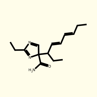 CCC=CC=CC(CC)C1(C(N)=O)C=NC(CC)=N1